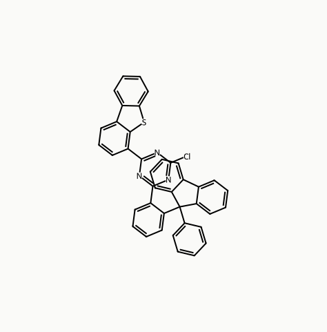 Clc1nc(-c2ccccc2C2(c3ccccc3)c3ccccc3-c3ccccc32)nc(-c2cccc3c2sc2ccccc23)n1